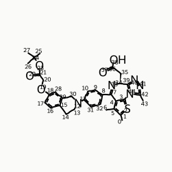 Cc1sc2c(c1C)C(c1ccc(N3CCc4ccc(OCC(=O)OC(C)(C)C)cc4C3)cc1)=N[C@@H](CC(=O)O)c1nnc(C)n1-2